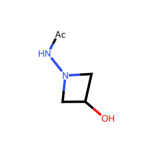 CC(=O)NN1CC(O)C1